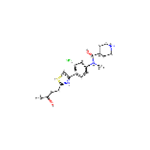 COC(=O)CCc1nc(-c2ccc(N(C)C(=O)C3CCNCC3)cc2)cs1.Cl